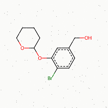 OCc1ccc(Br)c(OC2CCCCO2)c1